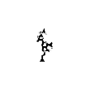 CC(=O)Nc1nc(C)c(-c2cc3c(c(C(C)=O)n2)C(=O)N(CCC2CC2)C3)s1